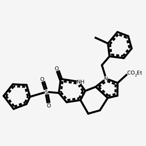 CCOC(=O)c1cc2c(n1Cc1ccccc1C)-c1[nH]c(=O)c(S(=O)(=O)c3ccccc3)cc1CC2